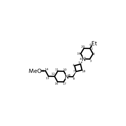 CCC1CCN([C@H]2C[C@H](CN3CCC(CCOC)CC3)C2)CC1